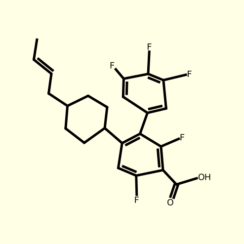 CC=CCC1CCC(c2cc(F)c(C(=O)O)c(F)c2-c2cc(F)c(F)c(F)c2)CC1